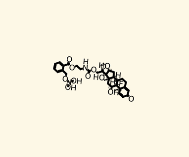 C[C@]12C=CC(=O)C=C1CC[C@H]1[C@@H]3C[C@@H](O)[C@](O)(C(=O)COC(=O)NCCOC(=O)c4ccccc4CON(O)O)[C@@]3(C)C[C@H](O)[C@@]12F